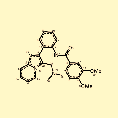 COc1ccc(C(=O)Nc2ccccc2-c2nc3ccccn3c2CN(C)C)cc1OC